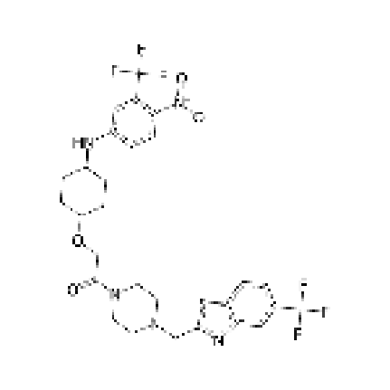 O=C(CO[C@H]1CC[C@H](Nc2ccc([N+](=O)[O-])c(C(F)(F)F)c2)CC1)N1CCN(Cc2nc3cc(C(F)(F)F)ccc3s2)CC1